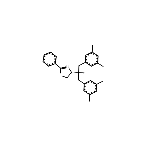 Cc1cc(C)cc(CC(O)(Cc2cc(C)cc(C)c2)[C@H]2COC(c3ccccc3)=N2)c1